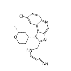 C[C@@H]1CC(n2c(CN/C=C\C=N)nc3cnc4ccc(Cl)cc4c32)CCO1